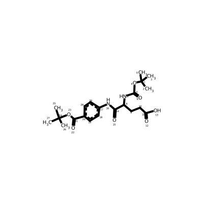 CC(C)(C)OC(=O)NC(CCC(=O)O)C(=O)Nc1ccc(C(=O)OC(C)(C)C)cc1